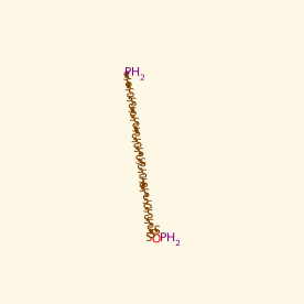 POS(=S)(=S)SSSSSSSSSSSSSSSSSSSSSSSSSSSSSSSP